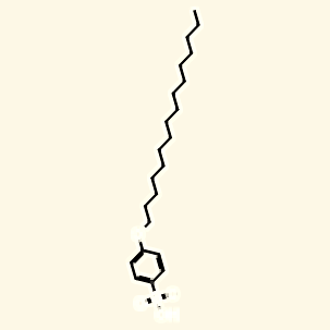 CCCCCCCCCCCCCCCCOc1ccc(S(=O)(=O)O)cc1